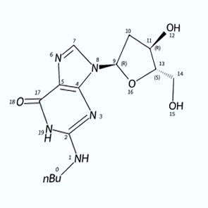 CCCCNc1nc2c(ncn2[C@H]2C[C@@H](O)[C@H](CO)O2)c(=O)[nH]1